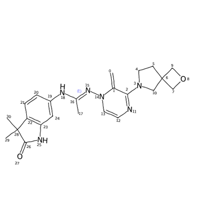 C=C1C(N2CCC3(COC3)C2)=NC=CN1/N=C(\C)Nc1ccc2c(c1)NC(=O)C2(C)C